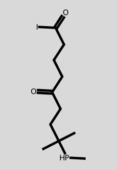 CPC(C)(C)CCC(=O)CCCC(=O)I